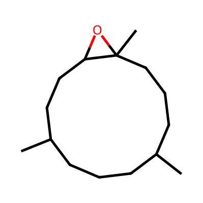 CC1CCCC(C)CCC2OC2(C)CCC1